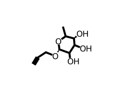 C#CCO[C@@H]1OC(C)[C@@H](O)C(O)C1O